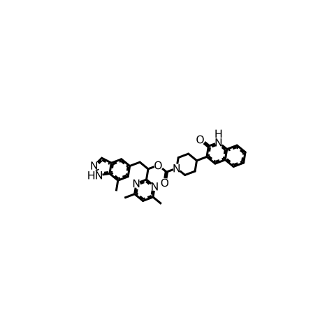 Cc1cc(C)nc(C(Cc2cc(C)c3[nH]ncc3c2)OC(=O)N2CCC(c3cc4ccccc4[nH]c3=O)CC2)n1